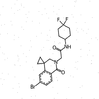 O=C(CN1CC2(CC2)c2cc(Br)ccc2C1=O)NC1CCC(F)(F)CC1